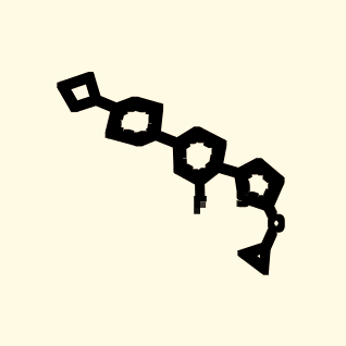 Fc1cc(-c2ccc(C3CCC3)cc2)ccc1-c1ccc(OC2CC2)s1